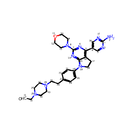 Nc1ncc(-c2nc(N3CCOCC3)nc3c2CCN3c2ccc(CCN3CCN(CC=O)CC3)cc2)cn1